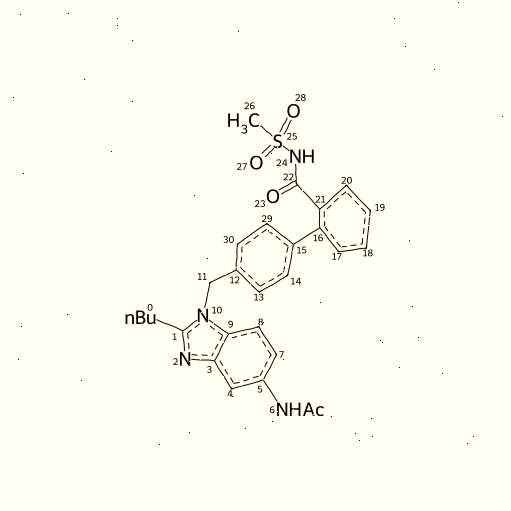 CCCCc1nc2cc(NC(C)=O)ccc2n1Cc1ccc(-c2ccccc2C(=O)NS(C)(=O)=O)cc1